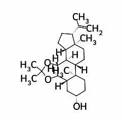 C=C(C)[C@H]1CC[C@H]2[C@@H]3[C@H]4OC(C)(C)O[C@@H]4[C@H]4C[C@@H](O)CC[C@]4(C)[C@H]3CC[C@]12C